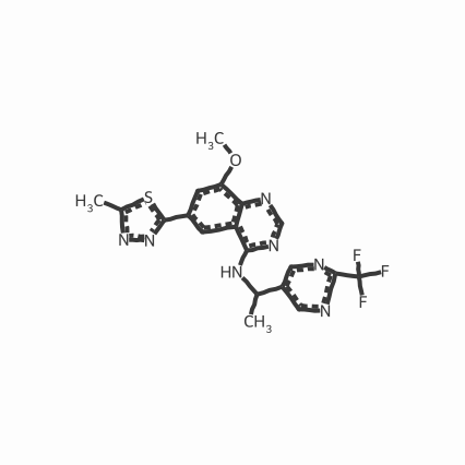 COc1cc(-c2nnc(C)s2)cc2c(NC(C)c3cnc(C(F)(F)F)nc3)ncnc12